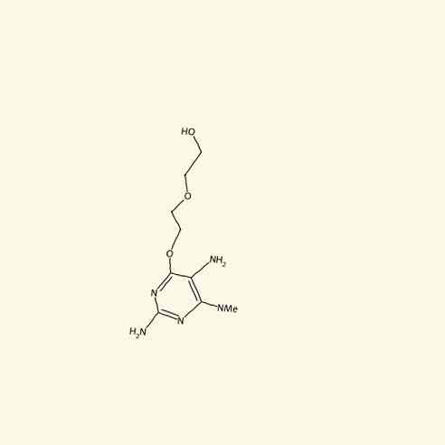 CNc1nc(N)nc(OCCOCCO)c1N